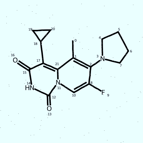 Cc1c(N2CCCC2)c(F)cn2c(=O)[nH]c(=O)c(C3CC3)c12